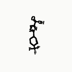 O=C(O)c1csc(C2CCC(C(F)(F)F)CC2)n1